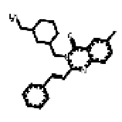 Cc1ccc2nc(C=Cc3ccccc3)n(CC3CCCC(CN)C3)c(=O)c2c1